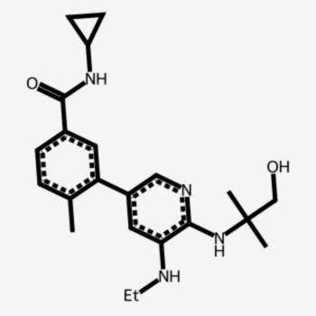 CCNc1cc(-c2cc(C(=O)NC3CC3)ccc2C)cnc1NC(C)(C)CO